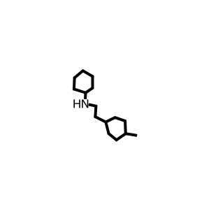 CC1CCC(CCNC2CCCCC2)CC1